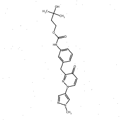 Cn1cc(-n2ccc(=O)c(Cc3cccc(NC(=O)OCCC(C)(C)O)c3)n2)cn1